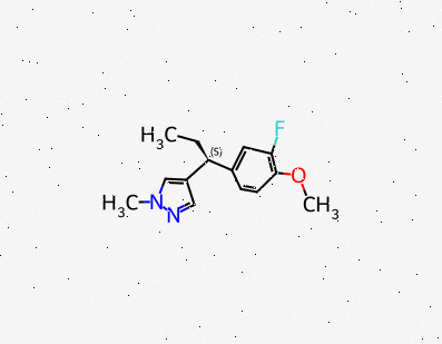 CC[C@@H](c1ccc(OC)c(F)c1)c1cnn(C)c1